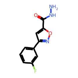 NNC(=O)c1cc(-c2cccc(F)c2)no1